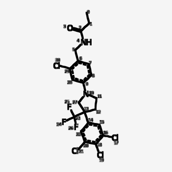 CCC(=O)NCc1ccc(N2CCC(c3cc(Cl)c(Cl)c(Cl)c3)(C(F)(F)F)C2)cc1Cl